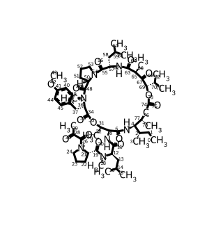 CC[C@H](C)[C@H]1NC(=O)[C@@H](NC(=O)[C@@H](CC(C)C)N(C)C(=O)[C@@H]2CCCN2C(=O)C(C)=O)[C@@H](C)OC(=O)[C@H](Cc2ccc(OC)cc2)N(C)C(=O)[C@@H]2CCCN2C(=O)[C@H](CC(C)C)NC(=O)[C@@H](C)C(=O)[C@H](C(C)C)OC(=O)C[C@@H]1C